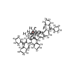 C[Si](C)(C)C1([Si](C)(C)C)c2cc3cc(N(c4ccccc4)c4ccccc4F)ccc3cc2-c2c1c1ccc(N(c3ccccc3)c3ccccc3F)cc1c1ccccc21